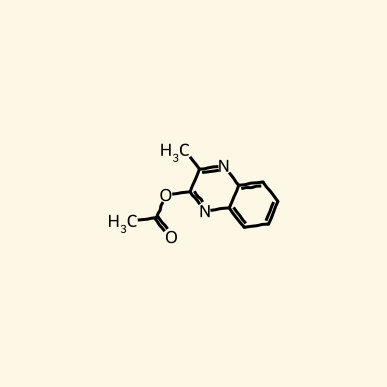 CC(=O)Oc1nc2ccccc2nc1C